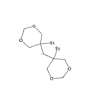 CCC1([CH]C2(CC)COCOC2)COCOC1